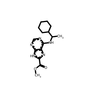 COC(=O)c1nc2c(NC(C)C3CCCCC3)ncnc2[nH]1